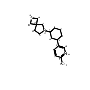 FC(F)(F)c1ccc(C2CCCC(N3CCC4(CSC4)C3)C2)cn1